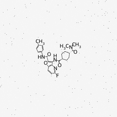 Cc1ccc(NC(=O)c2oc3ccc(F)nc3c2NC(=O)[C@H]2CC[C@H](C(=O)N(C)C)CC2)cc1